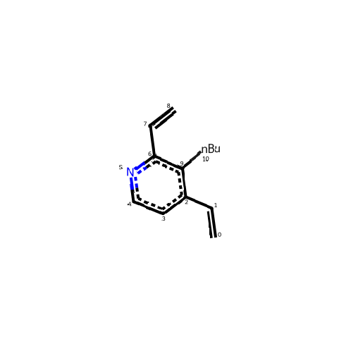 C=Cc1ccnc(C=C)c1CCCC